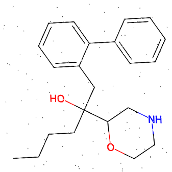 CCCCC(O)(Cc1ccccc1-c1ccccc1)C1CNCCO1